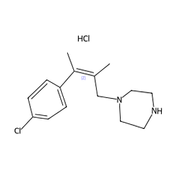 C/C(CN1CCNCC1)=C(\C)c1ccc(Cl)cc1.Cl